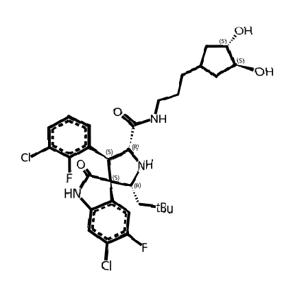 CC(C)(C)C[C@H]1N[C@@H](C(=O)NCCCC2C[C@H](O)[C@@H](O)C2)[C@H](c2cccc(Cl)c2F)[C@@]12C(=O)Nc1cc(Cl)c(F)cc12